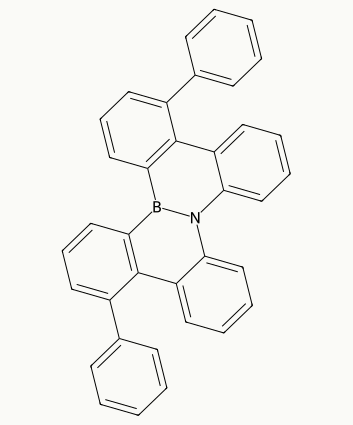 c1ccc(-c2cccc3c2-c2ccccc2N2B3c3cccc(-c4ccccc4)c3-c3ccccc32)cc1